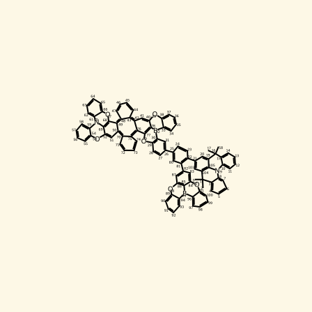 CC1(C)c2ccccc2N2c3ccccc3C(C)(C)c3cc(-c4ccc(-c5ccc6c(c5)B5c7ccccc7Oc7cc8c9ccccc9c9c(cc%10oc%11ccccc%11n%11c%12ccccc%12oc9c%10%11)c9ccccc9c8c(c75)O6)cc4-c4cc5c6c(c4)Oc4ccccc4B6c4ccccc4O5)cc1c32